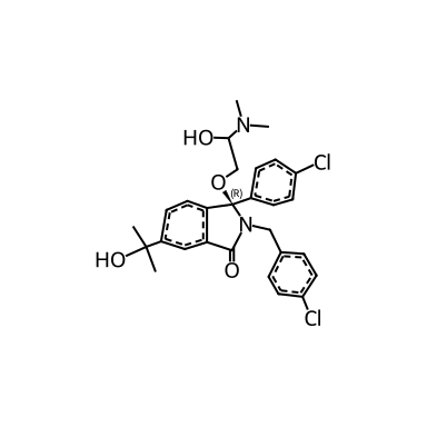 CN(C)C(O)CO[C@]1(c2ccc(Cl)cc2)c2ccc(C(C)(C)O)cc2C(=O)N1Cc1ccc(Cl)cc1